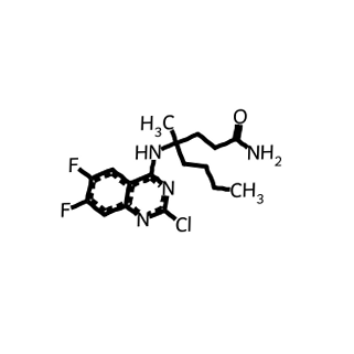 CCCCC(C)(CCC(N)=O)Nc1nc(Cl)nc2cc(F)c(F)cc12